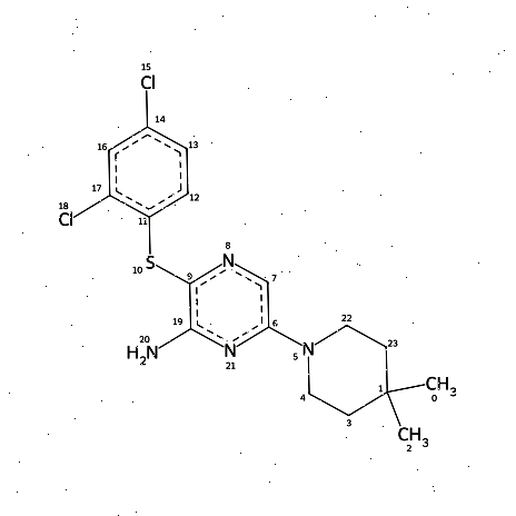 CC1(C)CCN(c2cnc(Sc3ccc(Cl)cc3Cl)c(N)n2)CC1